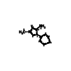 Cn1cc(-c2ccccc2)c(N)n1